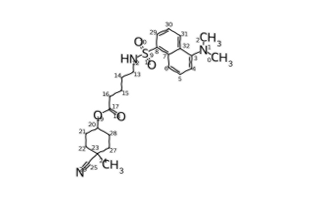 CN(C)c1cccc2c(S(=O)(=O)NCCCCC(=O)OC3CCC(C)(C#N)CC3)cccc12